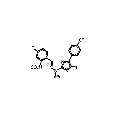 CCCN(/N=C/c1ccc(F)cc1C(=O)O)c1nc(-c2ccc(C(F)(F)F)cc2)c(F)s1